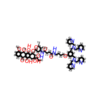 CCC(=O)[C@]1(O)Cc2c(O)c3c(c(O)c2[C@@H](O[C@H]2CC(NC(=O)CCC(=O)NCCCCOc4cc(CN(Cc5ccccn5)Cc5ccccn5)cc(CN(Cc5ccccn5)Cc5ccccn5)c4)[C@H](C)[C@H](C)O2)C1)C(=O)c1c(OC)cccc1C3=O